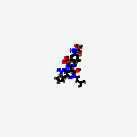 CC(C)CCn1nc(-c2cccs2)c(N)c(C2=Nc3ccc(NS(C)(=O)=O)cc3S(=O)(=O)N2)c1=O